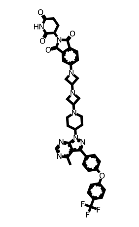 Cc1ncnc2c1c(-c1ccc(Oc3ccc(C(F)(F)F)cc3)cc1)nn2C1CCN(C2CN(C3CN(c4ccc5c(c4)C(=O)N(C4CCC(=O)NC4=O)C5=O)C3)C2)CC1